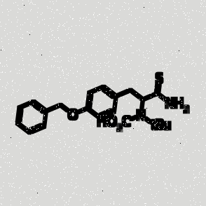 CC(C)(C)N(C(=O)O)C(Cc1ccc(OCc2ccccc2)cc1)C(N)=S